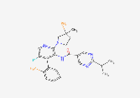 CC(C)c1ncc(C(=O)Nc2c(N3CCC(C)(P)C3)ncc(F)c2-c2ccccc2P)cn1